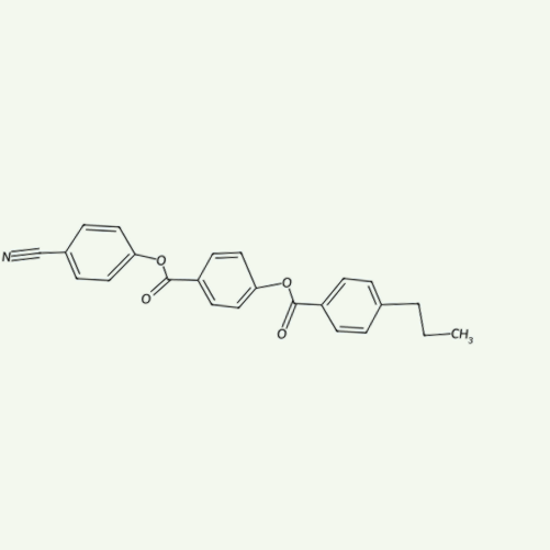 CCCc1ccc(C(=O)Oc2ccc(C(=O)Oc3ccc(C#N)cc3)cc2)cc1